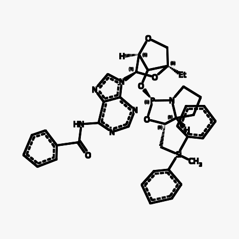 CC[C@@]12CO[C@@H](C1O[P@]1O[C@@H](C[Si](C)(c3ccccc3)c3ccccc3)[C@H]3CCCN31)[C@H](n1cnc3c(NC(=O)c4ccccc4)ncnc31)O2